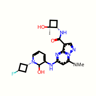 CNc1cc(NC2=CC=CN([C@H]3C[C@H](F)C3)C2O)nc2c(C(=O)N[C@H]3CC[C@]3(C)O)cnn12